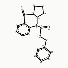 O=C1c2ccccc2N(C(=O)OCc2ccccc2)C2CCCC12